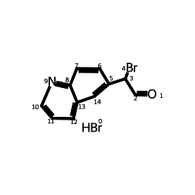 Br.O=CC(Br)c1ccc2ncccc2c1